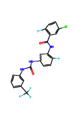 O=C(Nc1cccc(C(F)(F)F)c1)Nc1ccc(F)c(NC(=O)c2cc(Cl)ccc2F)c1